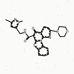 Cc1cc(CNC(=O)c2c(=O)c3ccc(N4CCOCC4)nc3n3c2sc2ccccc23)n(C)n1